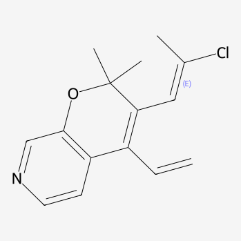 C=CC1=C(/C=C(\C)Cl)C(C)(C)Oc2cnccc21